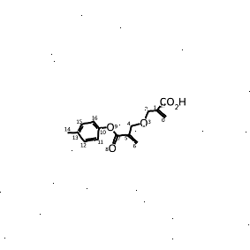 C=C(COCC(=C)C(=O)Oc1ccc(C)cc1)C(=O)O